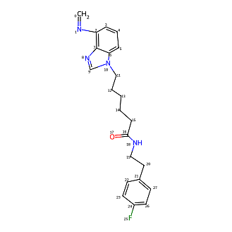 C=Nc1cccc2c1ncn2CCCCCC(=O)NCCc1ccc(F)cc1